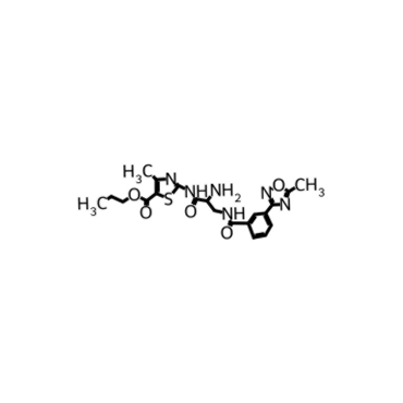 CCCOC(=O)c1sc(NC(=O)C(N)CNC(=O)c2cccc(-c3noc(C)n3)c2)nc1C